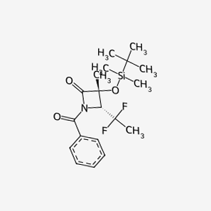 CC(F)(F)[C@@H]1N(C(=O)c2ccccc2)C(=O)[C@]1(C)O[Si](C)(C)C(C)(C)C